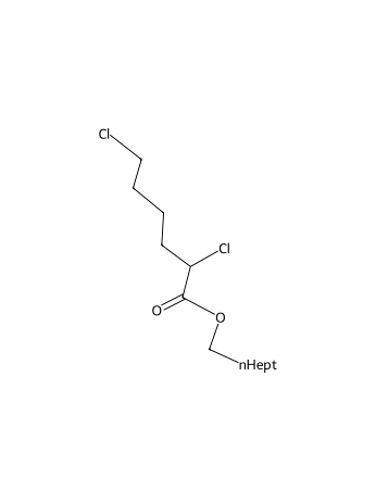 CCCCCCCCOC(=O)C(Cl)CCCCCl